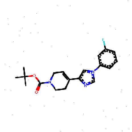 CC(C)(C)OC(=O)N1CC=C(c2cn(-c3cccc(F)c3)cn2)CC1